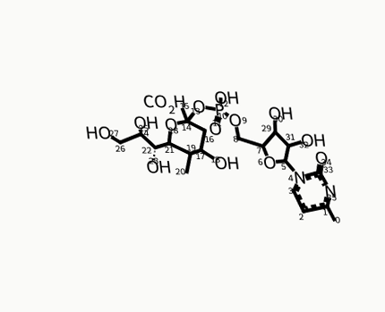 Cc1ccn(C2OC(COP(=O)(O)OC3(C(=O)O)CC(O)C(C)C([C@H](O)[C@H](O)CO)O3)C(O)C2O)c(=O)n1